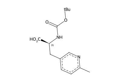 Cc1ccc(C[C@H](NC(=O)OC(C)(C)C)C(=O)O)cn1